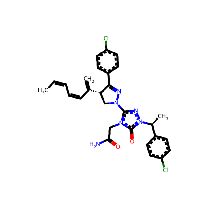 C=C(/C=C\C=C/C)[C@H]1CN(c2nn([C@@H](C)c3ccc(Cl)cc3)c(=O)n2CC(N)=O)N=C1c1ccc(Cl)cc1